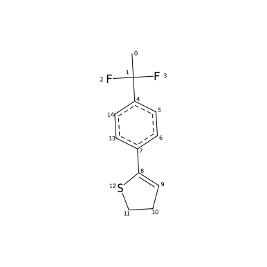 CC(F)(F)c1ccc(C2=CCCS2)cc1